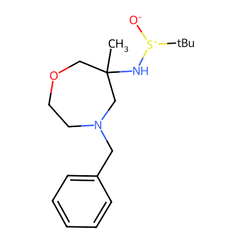 CC1(N[S+]([O-])C(C)(C)C)COCCN(Cc2ccccc2)C1